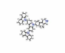 N#Cc1cc(-n2c3ccc(-n4c5ccccc5c5ccccc54)cc3c3cc(-n4c5ccccc5c5ccccc54)ccc32)ccc1-c1ccncc1